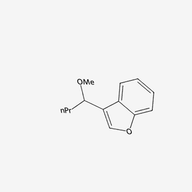 CCCC(OC)c1coc2ccccc12